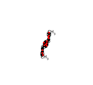 Cc1cnc(-c2ccc(-c3ccc(OC(=O)COc4ccc5c(c4-c4c(OCC(=O)Oc6ccc(-c7ccc(-c8ncc(C)cn8)cc7)cc6)ccc6c4CCCC6)CCCC5)cc3)cc2)nc1